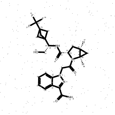 NC(=O)c1nn(CC(=O)N2[C@@H]3C[C@@H]3C[C@H]2C(=O)N[C@H](CO)C23CC(C(F)(F)F)(C2)C3)c2ccccc12